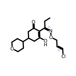 CC/C(=N/OC/C=C/Cl)C1=C(O)CC(C2CCOCC2)CC1=O